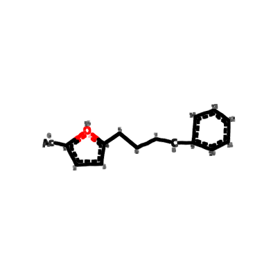 CC(=O)c1ccc(CCCCc2ccccc2)o1